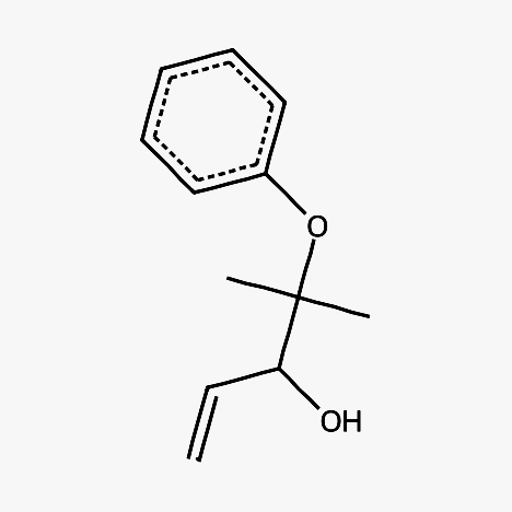 [CH]=CC(O)C(C)(C)Oc1ccccc1